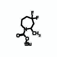 CC1CC(F)(F)CCCN1C(=O)OC(C)(C)C